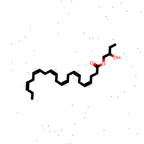 CC/C=C\C/C=C\C/C=C\C/C=C\C/C=C\C/C=C\CCC(=O)OCC(O)CC